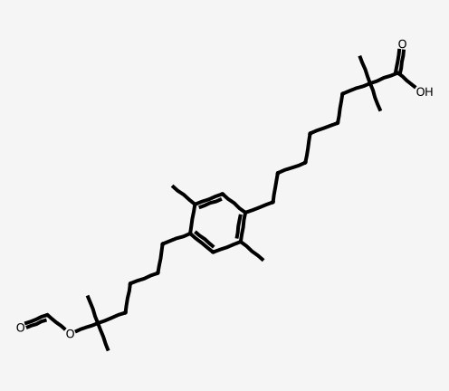 Cc1cc(CCCCC(C)(C)OC=O)c(C)cc1CCCCCCC(C)(C)C(=O)O